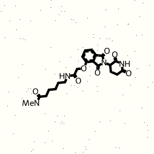 CNC(=O)CCCCCNC(=O)COc1cccc2c1C(=O)N(C1CCC(=O)NC1=O)C2=O